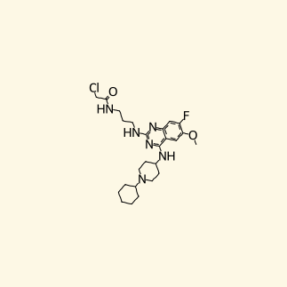 COc1cc2c(NC3CCN(C4CCCCC4)CC3)nc(NCCCNC(=O)CCl)nc2cc1F